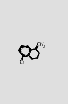 C=C1CCCc2c(Cl)cccc21